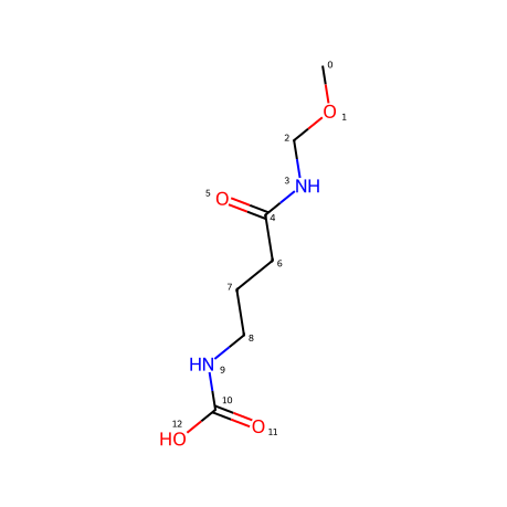 COCNC(=O)CCCNC(=O)O